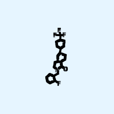 O=c1c2ccc(-c3ccc(C(F)(F)F)cc3)cc2ccn1Cc1ccccc1F